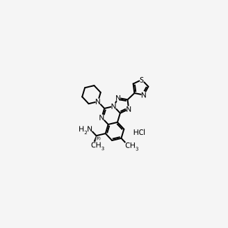 Cc1cc([C@@H](C)N)c2nc(N3CCCCC3)n3nc(-c4cscn4)nc3c2c1.Cl